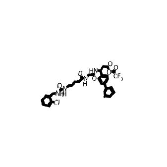 O=C(CCCCNC(=O)NCc1ccccc1Cl)NCC(=O)NC(CC(=O)OC(=O)C(F)(F)F)c1ccc(-c2ccccc2)cc1